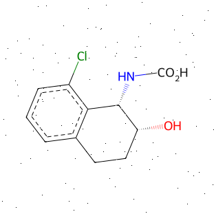 O=C(O)N[C@H]1c2c(Cl)cccc2CC[C@H]1O